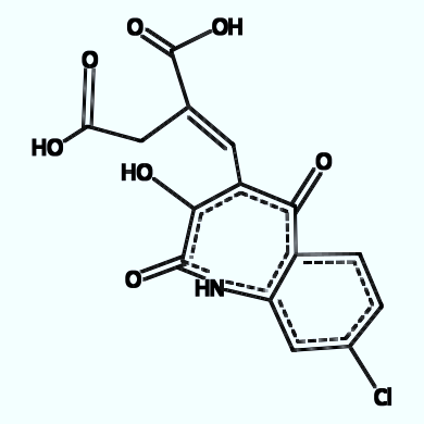 O=C(O)C/C(=C\c1c(O)c(=O)[nH]c2cc(Cl)ccc2c1=O)C(=O)O